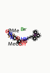 COC(=O)[C@H]1CSC(c2nc3ccc(Oc4cc(OC)c(O)c(OCC(=O)NCCCCCC[P+](c5ccccc5)(c5ccccc5)c5ccccc5)c4)cc3s2)=N1.[Br-]